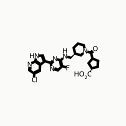 O=C(O)[C@H]1CCC(C(=O)N2CCC[C@H](CNc3nc(-c4c[nH]c5ncc(Cl)cc45)ncc3F)C2)C1